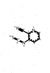 N#Cc1ncccc1N=C=S